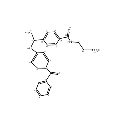 C=C(c1ccccc1)c1ccc(OC(CCCCCC)c2ccc(C(=O)NCCC(=O)O)cc2)cc1